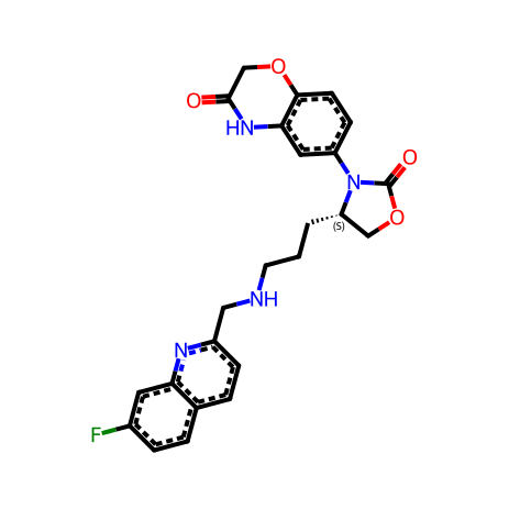 O=C1COc2ccc(N3C(=O)OC[C@@H]3CCCNCc3ccc4ccc(F)cc4n3)cc2N1